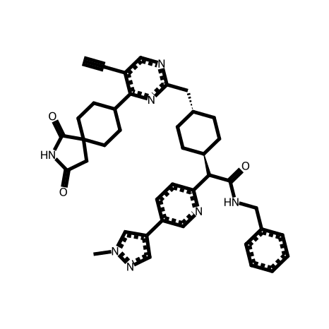 C#Cc1cnc(C[C@H]2CC[C@H](C(C(=O)NCc3ccccc3)c3ccc(-c4cnn(C)c4)cn3)CC2)nc1C1CCC2(CC1)CC(=O)NC2=O